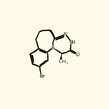 C[C@@H]1C(=O)NN=C2CCCc3ccc(Br)cc3N21